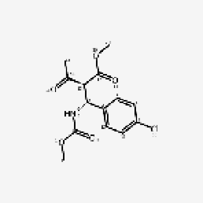 COC(=O)N[C@@H](c1ccc(Cl)cc1)[C@@H](C(C)=O)C(=O)OC